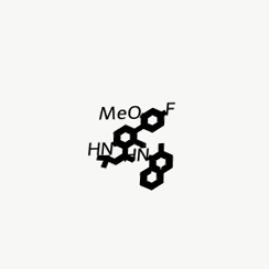 COc1cc(F)ccc1-c1ccc2c(c1CNc1c(C)ccc3ccccc13)C(C)=CC(C)(C)N2